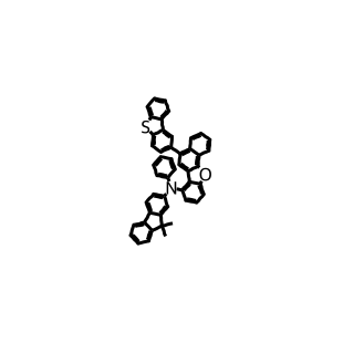 CC1(C)c2ccccc2-c2ccc(N(c3ccccc3)c3cccc4oc5c6ccccc6c(-c6ccc7sc8ccccc8c7c6)cc5c34)cc21